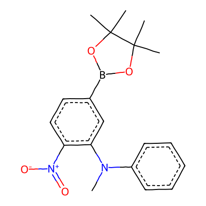 CN(c1ccccc1)c1cc(B2OC(C)(C)C(C)(C)O2)ccc1[N+](=O)[O-]